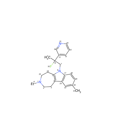 CCN1CCc2c(n(CC(C)(F)c3cccnc3)c3ccc(C)cc23)CC1